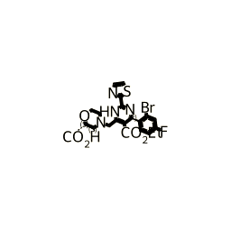 CCOC(=O)C1=C(CN2CCO[C@@H](C)[C@H]2C(=O)O)NC(c2nccs2)=N[C@H]1c1ccc(F)cc1Br